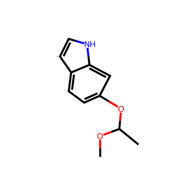 COC(C)Oc1ccc2[c]c[nH]c2c1